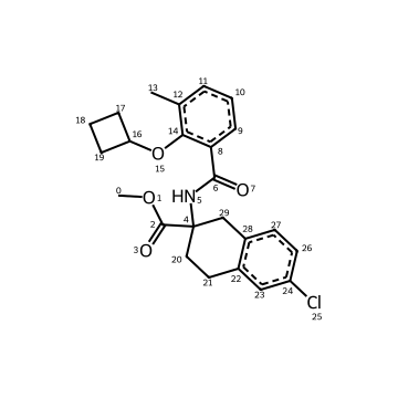 COC(=O)C1(NC(=O)c2cccc(C)c2OC2CCC2)CCc2cc(Cl)ccc2C1